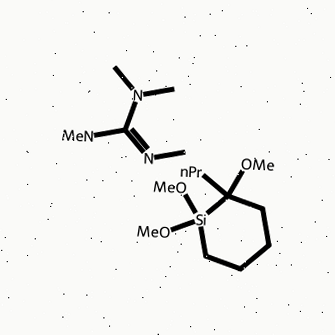 CCCC1(OC)CCCC[Si]1(OC)OC.CN=C(NC)N(C)C